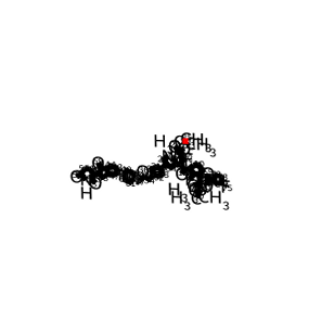 CC(C)(C)OC(=O)N(c1ccc(F)c(C(=O)c2cn(C(=O)OC(C)(C)C)c3ncc(-c4ccc(C[C@@H](O)CN5CCN(c6ccc7c(c6)CN(C6CCC(=O)NC6=O)C7=O)CC5)cc4)cc23)c1F)S(=O)(=O)N1CC[C@@H](F)C1